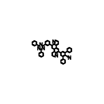 N#Cc1c(-c2ccccc2)cc(-c2cc3c4cccnc4c(-c4cccc(-c5nc(-c6ccccc6)nc(-c6ccccc6)n5)c4)cc3c3cccnc23)cc1-c1ccccc1